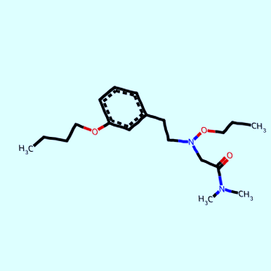 CCCCOc1cccc(CCN(CC(=O)N(C)C)OCCC)c1